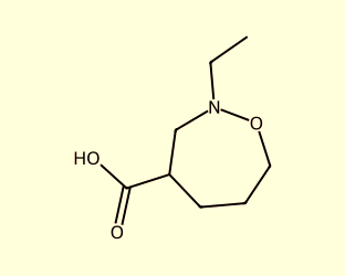 CCN1CC(C(=O)O)CCCO1